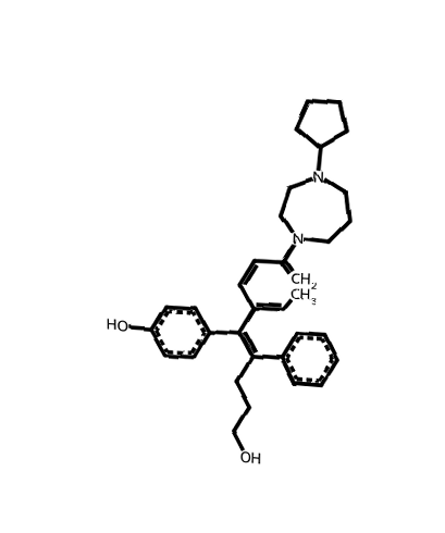 C=C(\C=C/C(=C\C)C(=C(/CCCO)c1ccccc1)/c1ccc(O)cc1)N1CCCN(C2CCCC2)CC1